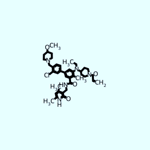 C=CC(=O)N1CCC(N(CC)c2cc(-c3ccc(CN4CCC(OC)CC4)c(Cl)c3)cc(C(=O)NCc3c(C)cc(C)[nH]c3=O)c2C)CC1